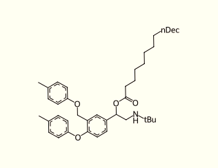 CCCCCCCCCCCCCCCCCC(=O)OC(CNC(C)(C)C)c1ccc(Oc2ccc(C)cc2)c(COc2ccc(C)cc2)c1